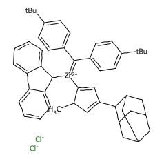 CC1C=C(C2C3CC4CC(C3)CC2C4)C=[C]1[Zr+2](=[C](c1ccc(C(C)(C)C)cc1)c1ccc(C(C)(C)C)cc1)[CH]1c2ccccc2-c2ccccc21.[Cl-].[Cl-]